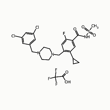 CS(=O)(=O)NC(=O)c1cc(C2CC2)c(CN2CCN(Cc3cc(Cl)cc(Cl)c3)CC2)cc1F.O=C(O)C(F)(F)F